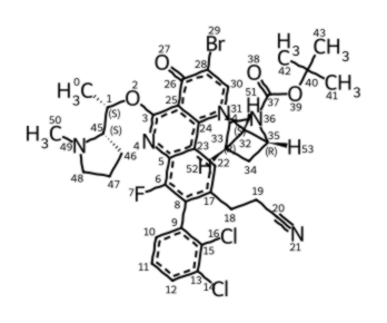 C[C@H](Oc1nc2c(F)c(-c3cccc(Cl)c3Cl)c(CCC#N)cc2c2c1c(=O)c(Br)cn2[C@H]1[C@@H]2C[C@H]1N(C(=O)OC(C)(C)C)C2)[C@@H]1CCCN1C